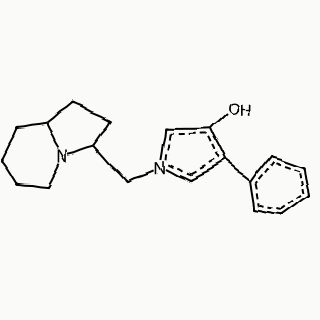 Oc1cn(CC2CCC3CCCCN32)cc1-c1ccccc1